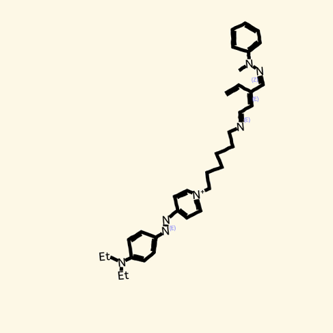 C=CC(/C=N\N(C)c1ccccc1)=C\C=N\CCCCCC[n+]1ccc(/N=N/c2ccc(N(CC)CC)cc2)cc1